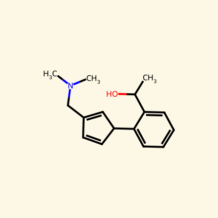 CC(O)c1ccccc1C1C=CC(CN(C)C)=C1